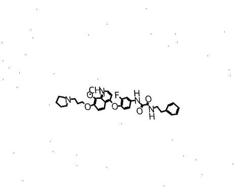 COc1c(OCCCN2CCCCC2)ccc2c(Oc3ccc(NC(=O)C(=O)NCCc4ccccc4)cc3F)ccnc12